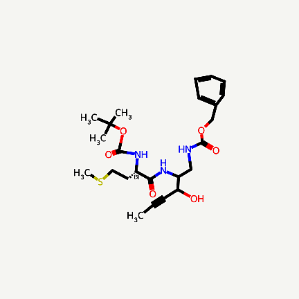 CC#CC(O)C(CNC(=O)OCc1ccccc1)NC(=O)[C@H](CCSC)NC(=O)OC(C)(C)C